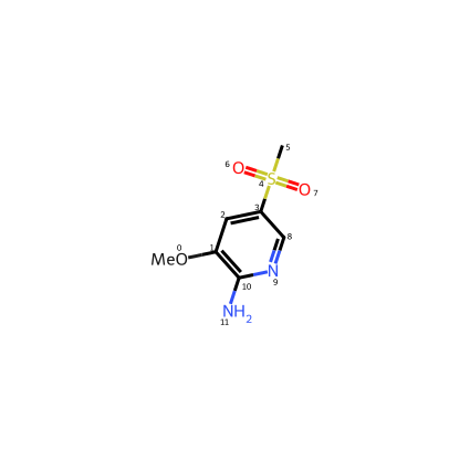 COc1cc(S(C)(=O)=O)cnc1N